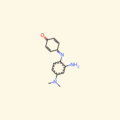 CN(C)c1ccc(N=C2C=CC(=O)C=C2)c(N)c1